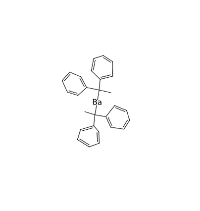 C[C]([Ba][C](C)(c1ccccc1)c1ccccc1)(c1ccccc1)c1ccccc1